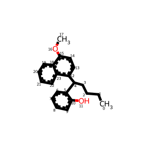 CCCCC(c1ccccc1O)c1ccc(OC)c2ccccc12